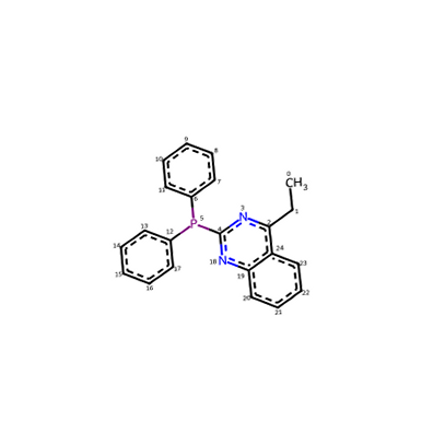 CCc1nc(P(c2ccccc2)c2ccccc2)nc2ccccc12